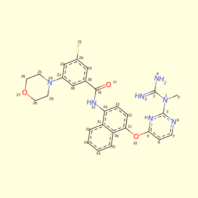 CN(C(=N)N)c1nccc(Oc2ccc(NC(=O)c3cc(F)cc(N4CCOCC4)c3)c3ccccc23)n1